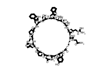 CCCC[C@H]1C(=O)N(C)[C@@H](CCCC)C(=O)N[C@@H](CCCNC(=N)N)C(=O)NC(C(=O)NCC(N)=O)CCSCC(=O)N[C@@H](Cc2ccc(O)cc2)C(=O)N(C)[C@@H](C)C(=O)N[C@@H](CC(N)=O)C(=O)N2CCC[C@H]2C(=O)N[C@@H](Cc2cnc[nH]2)C(=O)N[C@@H](CC(C)C)C(=O)N2CCC[C@H]2C(=O)N[C@@H](Cc2c[nH]c3ccccc23)C(=O)N[C@@H](CO)C(=O)N[C@@H](Cc2csc3ccccc23)C(=O)N1C